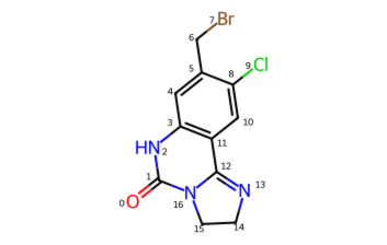 O=C1Nc2cc(CBr)c(Cl)cc2C2=NCCN12